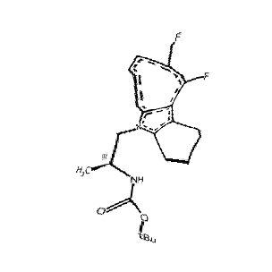 C[C@@H](Cn1c2c(c3c(F)c(F)ccc31)CCC2)NC(=O)OC(C)(C)C